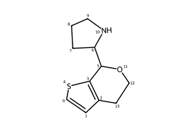 c1cc2c(s1)C(C1CCCN1)OCC2